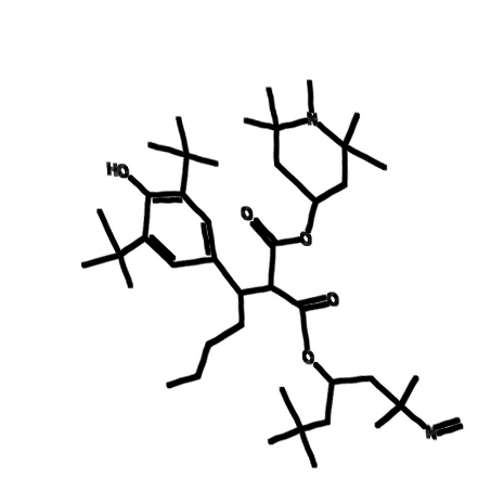 C=NC(C)(C)CC(CC(C)(C)C)OC(=O)C(C(=O)OC1CC(C)(C)N(C)C(C)(C)C1)C(CCCC)c1cc(C(C)(C)C)c(O)c(C(C)(C)C)c1